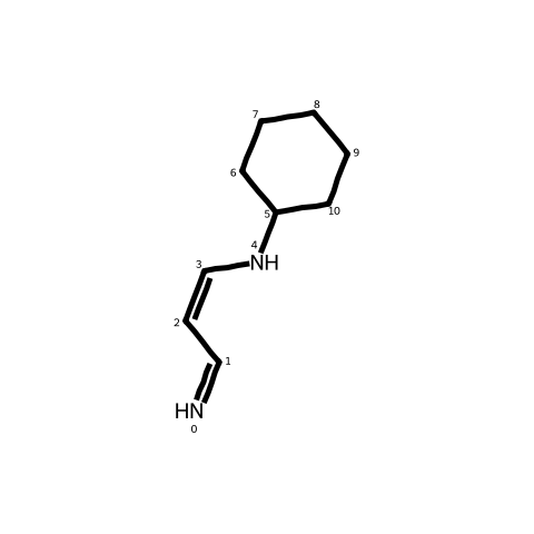 N=C/C=C\NC1CCCCC1